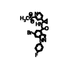 CS(=O)(=O)c1cc(C2(NC(=O)c3cc(Br)cc4c3cnn4-c3ccc(F)cc3)CC2)ccn1